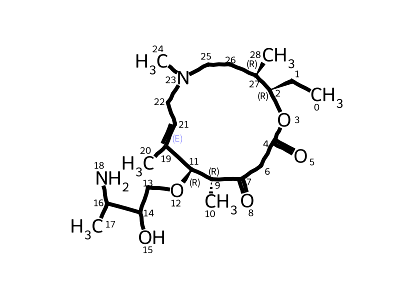 CC[C@H]1OC(=O)CC(=O)[C@H](C)[C@@H](OCC(O)C(C)N)/C(C)=C/CN(C)CC[C@H]1C